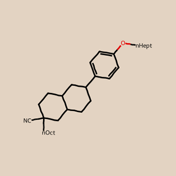 CCCCCCCCC1(C#N)CCC2CC(c3ccc(OCCCCCCC)cc3)CCC2C1